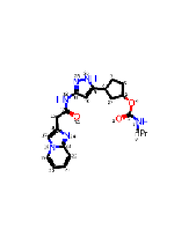 CCCNC(=O)OC1CCC(c2cc(NC(=O)Cc3cn4ccccc4n3)n[nH]2)C1